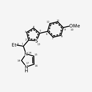 CCC(c1ccc(-c2ccc(OC)cc2)s1)N1C=CNC1